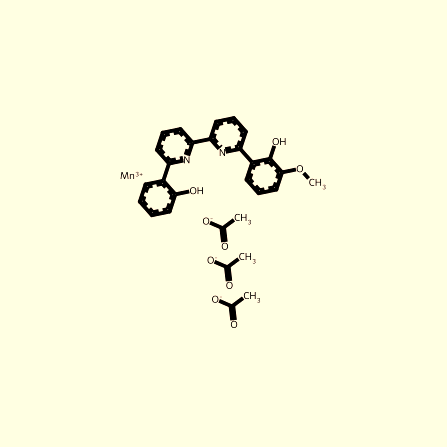 CC(=O)[O-].CC(=O)[O-].CC(=O)[O-].COc1cccc(-c2cccc(-c3cccc(-c4ccccc4O)n3)n2)c1O.[Mn+3]